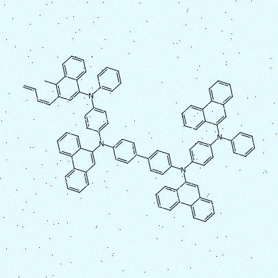 C=C/C=C\c1cc(N(c2ccccc2)c2ccc(N(c3ccc(-c4ccc(N(c5ccc(N(c6ccccc6)c6cc7ccccc7c7ccccc67)cc5)c5cc6ccccc6c6ccccc56)cc4)cc3)c3cc4ccccc4c4ccccc34)cc2)c2ccccc2c1C